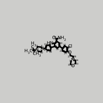 CC(C)(C)N1CCN(c2ccc3c(c2)[nH]c2c(C(N)=O)cc(-c4ccc(OCCN5CCOCC5)c(Cl)c4)cc23)CC1